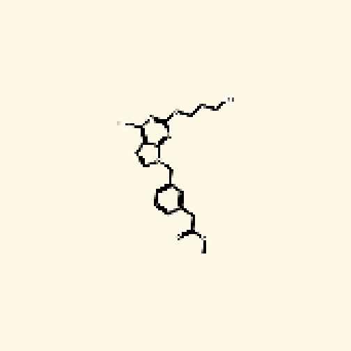 COC(=O)Cc1cccc(Cn2cnc3c(N)nc(OCCCO)nc32)c1